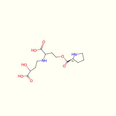 O=C(O)C(O)CCNC(CCOC(=O)[C@@H]1CCCN1)C(=O)O